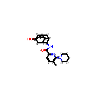 Cc1ccc(C(=O)NC2C3CC4CC2CC(O)(C4)C3)nc1N1CCCCC1